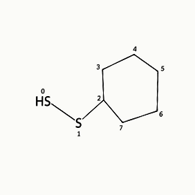 SSC1CCCCC1